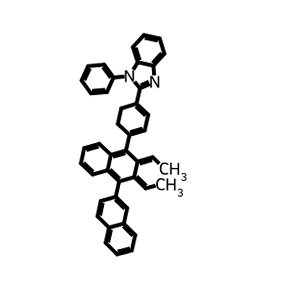 C/C=c1/c(C2=CC=C(c3nc4ccccc4n3-c3ccccc3)CC2)c2ccccc2c(-c2ccc3ccccc3c2)/c1=C/C